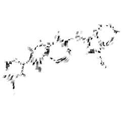 Cc1nc(-c2cccc(F)c2)ncc1OC(=O)Nn1cc(C)c2ccncc21